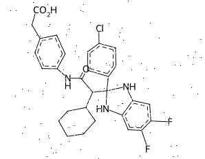 O=C(O)Cc1ccc(NC(=O)C(C2CCCCC2)C2(c3ccc(Cl)cc3)Nc3cc(F)c(F)cc3N2)cc1